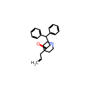 C=CCC12CCN(CC1)C(C(c1ccccc1)c1ccccc1)C2=O